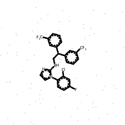 Fc1ccc(-n2ccnc2BCC(c2cccc(C(F)(F)F)c2)c2cccc(C(F)(F)F)c2)c(Cl)c1